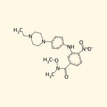 CCN1CCN(c2ccc(Nc3cc(C(=O)N(C)OC)ccc3[N+](=O)[O-])cc2)CC1